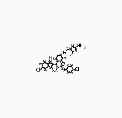 Cc1cc(N)nn1CCOc1ccc(C2c3[nH]c4ccc(Cl)cc4c3CCN2C(=O)Oc2ccc(Cl)cc2)cc1